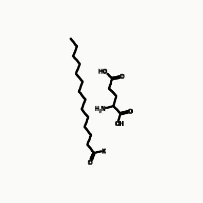 CCCCCCCCCCCCC[C](=O)[K].NC(CCC(=O)O)C(=O)O